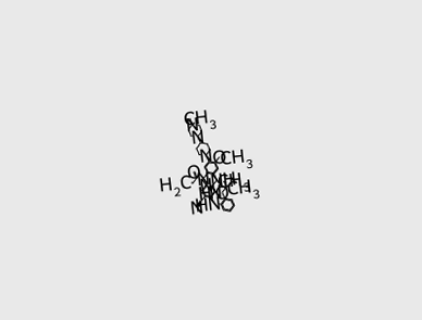 C=CC(=O)Nc1cc(N2CCC(N3CCN(C)CC3)CC2)c(OC)cc1Nc1ncc(C#N)c(Nc2ccccc2OC(C)C)n1